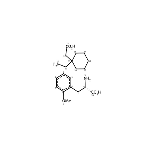 COc1ccccc1C[C@H](N)C(=O)O.NCC1(CC(=O)O)CCCCC1